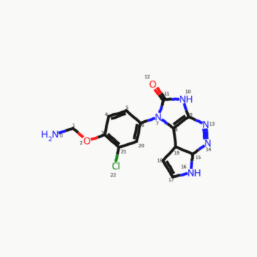 NCOc1ccc(-n2c3c([nH]c2=O)N=NC2NC=CC32)cc1Cl